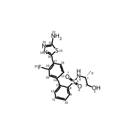 C[C@H](CO)NS(=O)(=O)c1ccccc1-c1ccc(-c2nnc(N)s2)c(F)c1